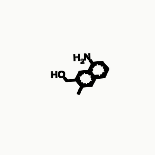 Cc1cc2cccc(N)c2cc1CO